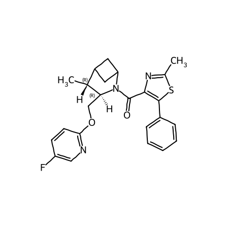 Cc1nc(C(=O)N2C3CC(C3)[C@@H](C)[C@@H]2COc2ccc(F)cn2)c(-c2ccccc2)s1